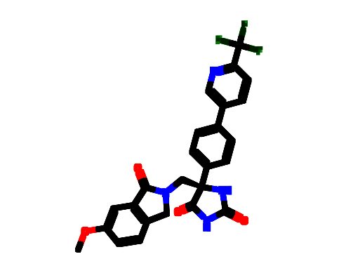 COc1ccc2c(c1)C(=O)N(C[C@@]1(c3ccc(-c4ccc(C(F)(F)F)nc4)cc3)NC(=O)NC1=O)C2